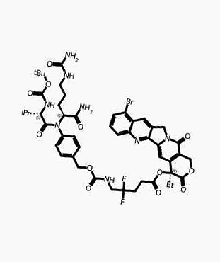 CC[C@@]1(OC(=O)CCC(F)(F)CNC(=O)OCc2ccc(N(C(=O)[C@@H](NC(=O)OC(C)(C)C)C(C)C)[C@@H](CCCNC(N)=O)C(N)=O)cc2)C(=O)OCc2c1cc1n(c2=O)Cc2cc3c(Br)cccc3nc2-1